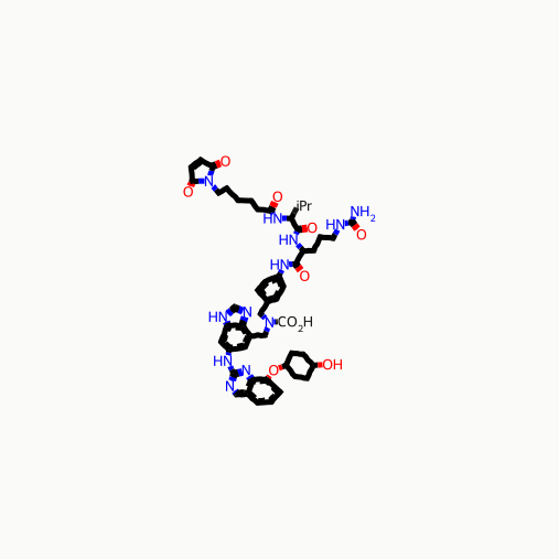 CC(C)C(NC(=O)CCCCCN1C(=O)C=CC1=O)C(=O)NC(CCCNC(N)=O)C(=O)Nc1ccc(CN(Cc2cc(Nc3ncc4cccc(OC5CCC(O)CC5)c4n3)cc3[nH]cnc23)C(=O)O)cc1